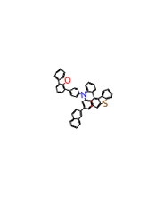 c1cc(-c2ccc3ccccc3c2)cc(N(c2ccc(-c3cccc4c3oc3ccccc34)cc2)c2ccccc2-c2cccc3sc4ccccc4c23)c1